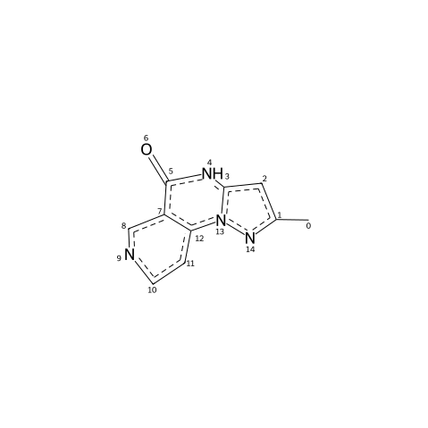 Cc1cc2[nH]c(=O)c3cnccc3n2n1